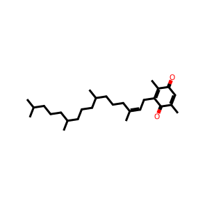 CC(=CCC1=C(C)C(=O)C=C(C)C1=O)CCCC(C)CCCC(C)CCCC(C)C